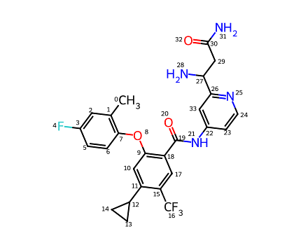 Cc1cc(F)ccc1Oc1cc(C2CC2)c(C(F)(F)F)cc1C(=O)Nc1ccnc(C(N)CC(N)=O)c1